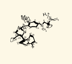 COc1cc(N(C)CC(=O)N(C)C)ccc1Nc1ncc(Cl)c(-c2cnc3c(F)cccn23)n1